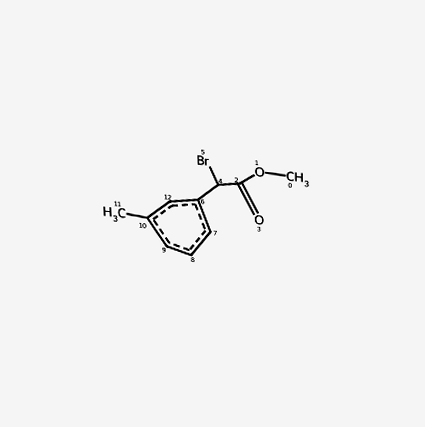 COC(=O)C(Br)c1cccc(C)c1